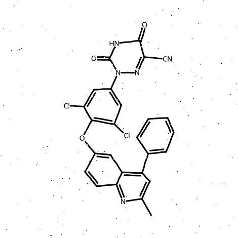 Cc1cc(-c2ccccc2)c2cc(Oc3c(Cl)cc(-n4nc(C#N)c(=O)[nH]c4=O)cc3Cl)ccc2n1